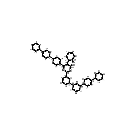 c1ccc(-c2ccc(-c3ccc(-c4nc(-c5cccc(-c6cccc(-c7ccc(-c8ccccc8)cc7)c6)c5)nc5oc6ccccc6c45)cc3)cc2)cc1